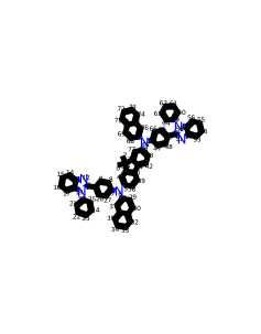 CC1(C)c2cc(N(c3ccc(-c4nc5ccccc5n4-c4ccccc4)cc3)c3ccc4ccccc4c3)ccc2-c2ccc(N(c3ccc(-c4nc5ccccc5n4-c4ccccc4)cc3)c3ccc4ccccc4c3)cc21